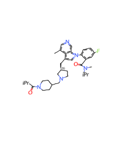 Cc1cncc2c1c(C[C@H]1CCN(CC3CCN(C(=O)C(C)C)CC3)C1)cn2-c1ccc(F)cc1C(=O)N(C)C(C)C